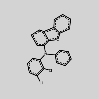 Clc1cccc(N(c2ccccc2)c2cccc3c2oc2ccccc23)c1Cl